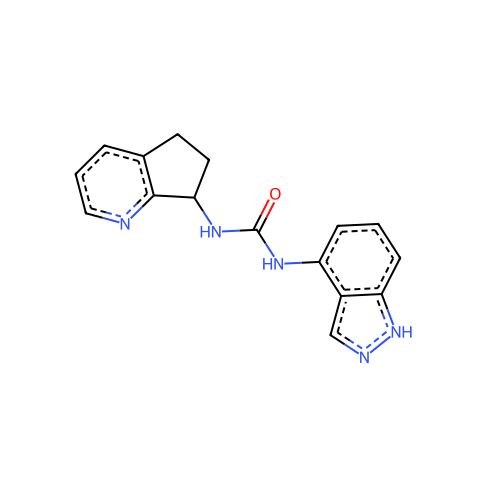 O=C(Nc1cccc2[nH]ncc12)NC1CCc2cccnc21